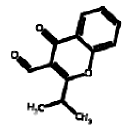 CC(C)c1oc2ccccc2c(=O)c1C=O